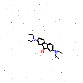 CCN(CC)c1ccc2c(c1)C(=O)c1cc(N(CC)CC)ccc1-2